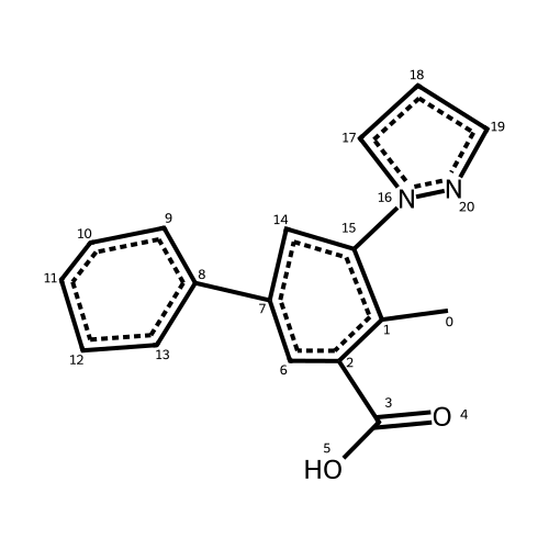 Cc1c(C(=O)O)cc(-c2ccccc2)cc1-n1cccn1